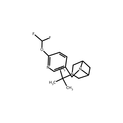 CC(C)(C)N1CC2CC(C1)N2Cc1ccc(OC(F)F)nc1